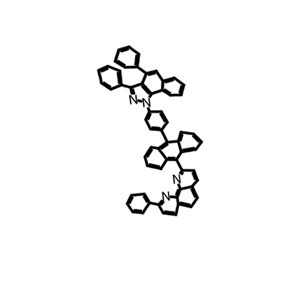 c1ccc(-c2ccc3ccc4ccc(-c5c6ccccc6c(-c6ccc(-n7nc(-c8ccccc8)c8c(-c9ccccc9)cc9ccccc9c87)cc6)c6ccccc56)nc4c3n2)cc1